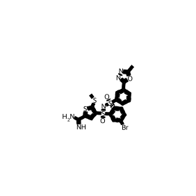 CSc1sc(C(=N)N)cc1S(=O)(=NS(=O)(=O)c1cccc(-c2nnc(C)o2)c1)c1cccc(Br)c1